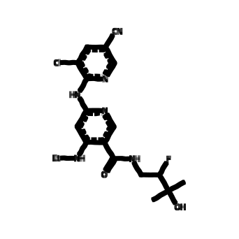 CCNc1cc(Nc2ncc(C#N)cc2Cl)ncc1C(=O)NCC(F)C(C)(C)O